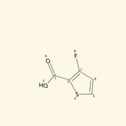 O=C(O)c1s[c]cc1F